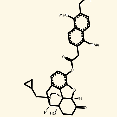 COc1c(CC(=O)O)ccc2c(OC)c(CC(=O)Oc3ccc4c5c3O[C@H]3C(=O)CC[C@@]6(O)[C@@H](C4)N(CC4CC4)CC[C@]536)ccc12